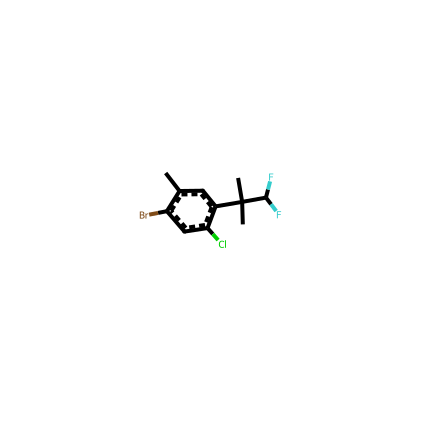 Cc1cc(C(C)(C)C(F)F)c(Cl)cc1Br